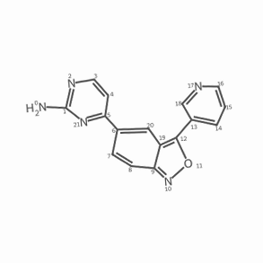 Nc1nccc(-c2ccc3noc(-c4cccnc4)c3c2)n1